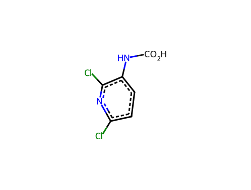 O=C(O)Nc1ccc(Cl)nc1Cl